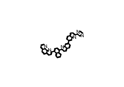 c1cnc2c(c1)ccc1ccc(-c3ccc(-c4ccc5ccc(-c6ccc7ccc(-c8cnccn8)nc7c6)cc5n4)c4ccccc34)nc12